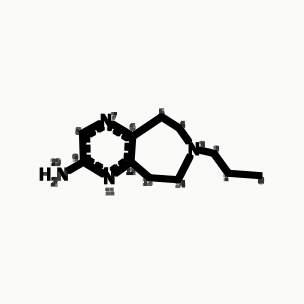 CCCN1CCc2ncc(N)nc2CC1